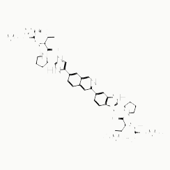 COC(=O)N[C@H](C(=O)N1CCC[C@H]1c1ncc(-c2ccc3cc(-c4ccc5nc([C@@H]6CCCN6C(=O)[C@@H](NC(=O)OC)[C@@H](C)OC)[nH]c5c4)ncc3c2)[nH]1)[C@@H](C)OC